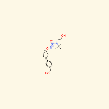 CC(C)(C)N(CCO)/[N+]([O-])=N/O[C@@H]1CC[C@@H](c2ccc(CO)cc2)C1